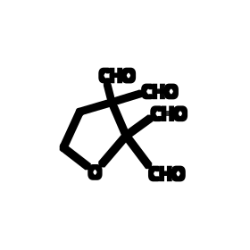 O=CC1(C=O)CCOC1(C=O)C=O